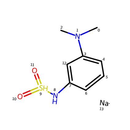 CN(C)c1cccc(N[SH](=O)=O)c1.[Na]